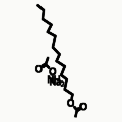 CC(=O)ON.CCCCCCCCCCCCCCOC(C)=O.[Na]